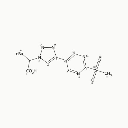 CCCCC(C(=O)O)n1cc(-c2cnc(S(C)(=O)=O)nc2)nn1